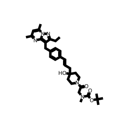 CCc1nn2c(C)cc(C)nc2c1Cc1ccc(C=CCC2(O)CCN(C(=O)CN(C)C(=O)OC(C)(C)C)CC2)cc1